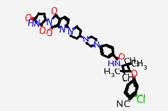 CC1(C)[C@H](NC(=O)c2ccc(N3CCN(C4CCN(c5ccc6c(n5)C(=O)N(C5CCC(=O)NC5=O)C6=O)CC4)CC3)cc2)C(C)(C)[C@H]1Oc1ccc(C#N)c(Cl)c1